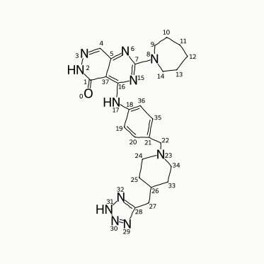 O=c1[nH]ncc2nc(N3CCCCCC3)nc(Nc3ccc(CN4CCC(Cc5nn[nH]n5)CC4)cc3)c12